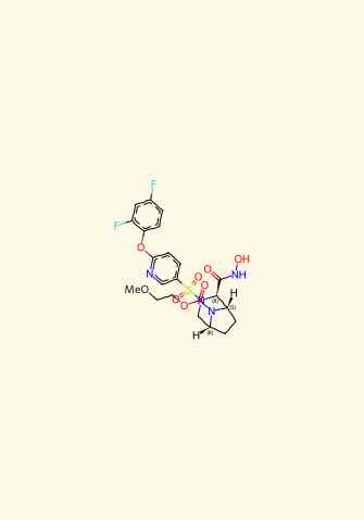 COCCOC(=O)N1[C@@H]2CC[C@H]1[C@H](C(=O)NO)N(S(=O)(=O)c1ccc(Oc3ccc(F)cc3F)nc1)C2